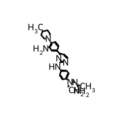 C=CN(/N=C(/C)N)c1ccc(Nc2nccc(-c3ccc(N4CCC(C)CC4)c(N)c3)n2)cc1